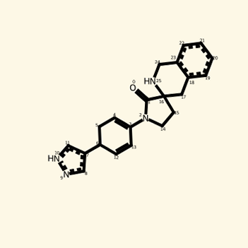 O=C1N(C2=CCC(c3cn[nH]c3)C=C2)CCC12Cc1ccccc1CN2